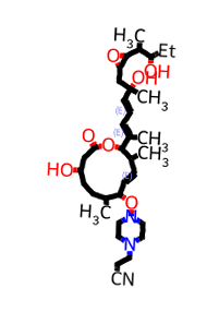 CCC(O)C(C)C1OC1CC(C)(O)/C=C/C=C(\C)C1OC(=O)CC(O)CCC(C)C(ON2CCN(CCC#N)CC2)/C=C/C1C